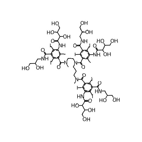 Cc1c(NC(=O)C(O)C(O)CO)c(I)c(C(=O)NCC(O)CO)c(I)c1C(=O)N(C)CCN(CCCN(C)C(=O)c1c(I)c(NC(=O)C(O)C(O)CO)c(I)c(C(=O)NCC(O)CO)c1I)C(=O)c1c(C)c(NC(=O)C(O)C(O)CO)c(I)c(C(=O)NCC(O)CO)c1I